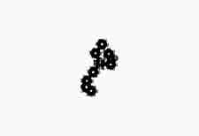 C1=CC(c2cccc(-c3nc(C4=CCC(c5ccc6ccc7ccccc7c6c5)C=C4)nc(-c4cccc5oc6ccccc6c45)n3)c2)=CCC1